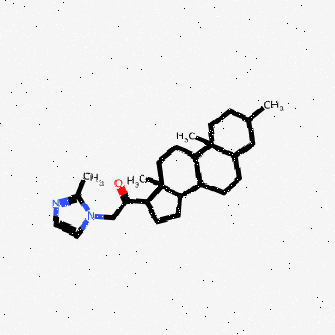 Cc1nccn1CC(=O)C1CCC2C3CCC4CC(C)CCC4(C)C3CCC12C